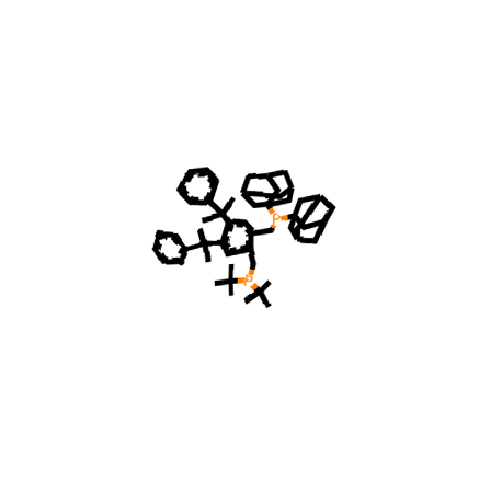 CC(C)(c1ccccc1)c1cc(CP(C(C)(C)C)C(C)(C)C)c(CP(C23CC4CC(CC(C4)C2)C3)C23CC4CC(CC(C4)C2)C3)cc1C(C)(C)c1ccccc1